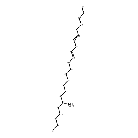 CCCCCC=CCC=CCCCCCCCC(N)CCCCC